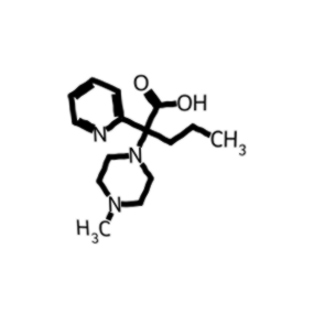 CCCC(C(=O)O)(c1ccccn1)N1CCN(C)CC1